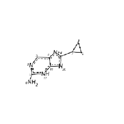 Nc1ncc2nc(C3CC3)nc-2[nH]1